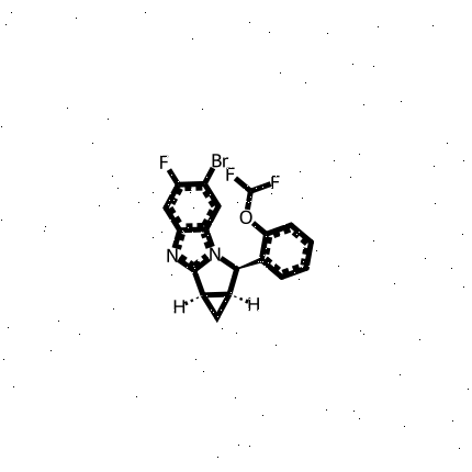 Fc1cc2nc3n(c2cc1Br)[C@@H](c1ccccc1OC(F)F)[C@H]1C[C@@H]31